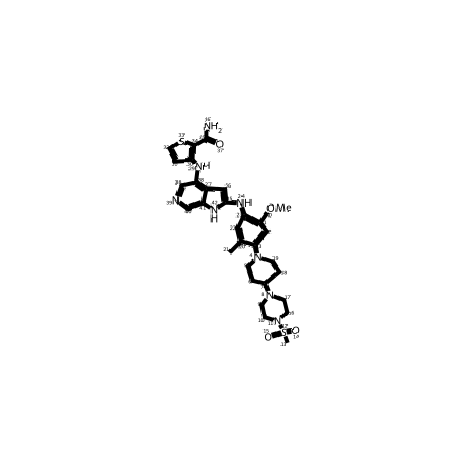 COc1cc(N2CCC(N3CCN(S(C)(=O)=O)CC3)CC2)c(C)cc1Nc1cc2c(Nc3ccsc3C(N)=O)cncc2[nH]1